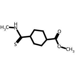 CNC(=S)C1CCC(C(=O)OC)CC1